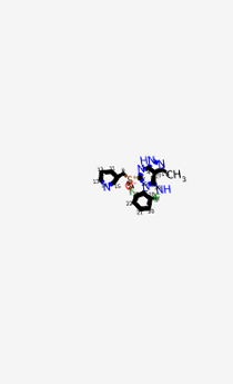 Cc1n[nH]c2nc([S+]([O-])Cc3cccnc3)n(-c3c(F)cccc3F)c(=N)c12